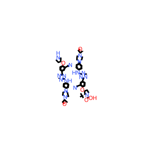 CC(C)(C)[C@@H]1C(Oc2ccc(-c3ncnc(Nc4ccc(N5CCN(C6COC6)CC5)cc4)n3)cc2C#N)CCN1C(=O)O.N#Cc1cc(-c2ncnc(Nc3ccc(N4CCN(C5COC5)CC4)cc3)n2)ccc1O[C@@H]1CCNC1